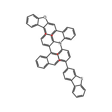 c1ccc(N(c2ccc(-c3ccc4c(c3)sc3ccccc34)cc2)c2ccccc2-c2cccc3ccccc23)c(-c2ccc3c(c2)oc2ccccc23)c1